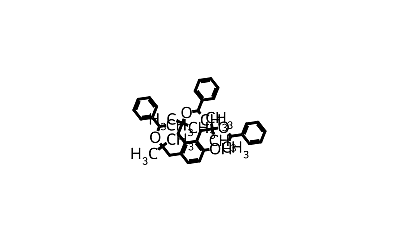 CC(OC(C)(C)Cc1ccc(O)c(CC(C)(C)OC(C)c2ccccc2)c1CC(C)(C)OC(C)c1ccccc1)c1ccccc1